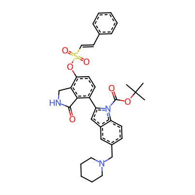 CC(C)(C)OC(=O)n1c(-c2ccc(OS(=O)(=O)C=Cc3ccccc3)c3c2C(=O)NC3)cc2cc(CN3CCCCC3)ccc21